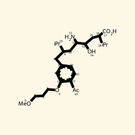 COCCCOc1cc(CC(CC(N)C(O)CC(C(=O)O)C(C)C)C(C)C)ccc1C(C)=O